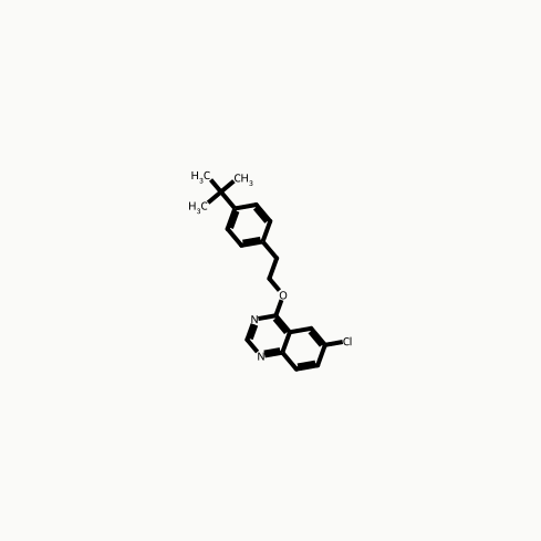 CC(C)(C)c1ccc(CCOc2ncnc3ccc(Cl)cc23)cc1